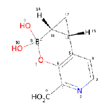 O=C(O)c1nccc2c1O[B-](O)(O)[C@@H]1C[C@H]21